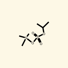 CC(C)OS(=O)(=O)O[Si](C)(C)C